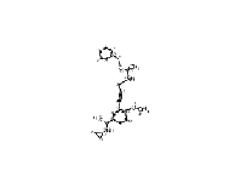 C=C(NCC#Cc1cc(C(C)NC2CC2)ccc1OC)OCc1ccccc1